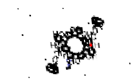 C/C=C\C=C/CC1c2cc(c(O)cc2O)C(c2ccccc2OCC(=O)OCOCC23CC4CC(CC(C4)C2)C3)c2cc(c(O)cc2O)C(C2C=CC=C2)c2cc(c(O)cc2O)C(c2ccccc2OCC(=O)OCOCC23CC4CC(CC(C4)C2)C3)c2cc1c(O)cc2O